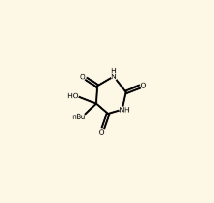 CCCCC1(O)C(=O)NC(=O)NC1=O